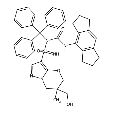 CC1(CO)COc2c(S(=N)(=O)N(C(=O)Nc3c4c(cc5c3CCC5)CCC4)C(c3ccccc3)(c3ccccc3)c3ccccc3)cnn2C1